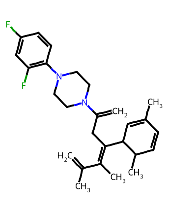 C=C(C)/C(C)=C(\CC(=C)N1CCN(c2ccc(F)cc2F)CC1)C1C=C(C)C=CC1C